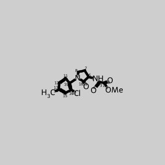 COC(=O)C(=O)NC1CCN(c2ccc(C)cc2Cl)C1=O